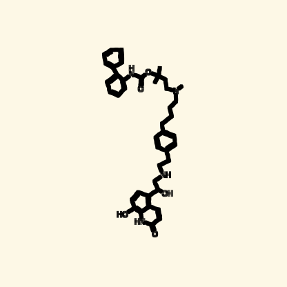 CN(CCCCc1ccc(CCNCC(O)c2ccc(O)c3[nH]c(=O)ccc23)cc1)CCC(C)(C)OC(=O)Nc1ccccc1-c1ccccc1